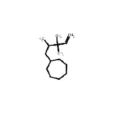 C=CC(C)(C)C(C)CC1CCCCCC1